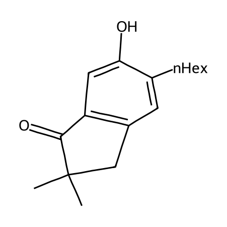 CCCCCCc1cc2c(cc1O)C(=O)C(C)(C)C2